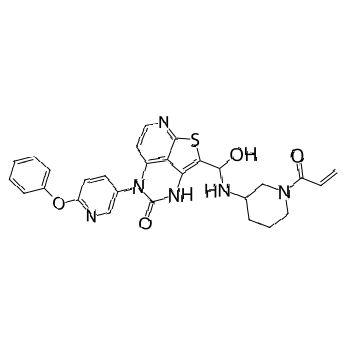 C=CC(=O)N1CCCC(NC(O)c2sc3nccc4c3c2NC(=O)N4c2ccc(Oc3ccccc3)nc2)C1